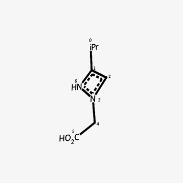 CC(C)c1cn(CC(=O)O)[nH]1